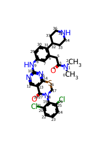 CN(C)C(=O)Cc1cc(Nc2ncc3c(n2)SCN(c2c(Cl)cccc2Cl)C3=O)ccc1C1CCNCC1